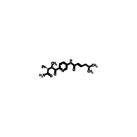 CC(C)[C@@H](C(N)=O)N(C)C(=O)c1ccc(NC(=O)/C=C/CN(C)C)cn1